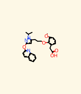 COc1cccc(CC(=O)O)c1OCCCc1cc(Oc2ccc3ccccc3n2)nn1C(C)C